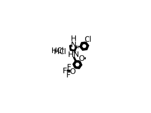 COc1ccc(OC(F)(F)F)cc1CN[C@H]1CCN[C@H]1c1cccc(Cl)c1.Cl.Cl